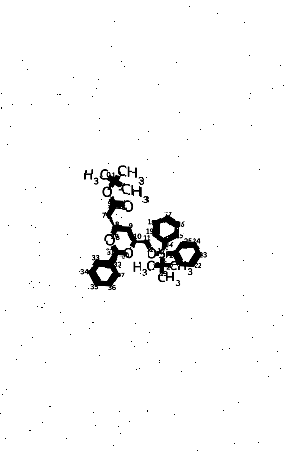 CC(C)(C)OC(=O)C[C@H]1C[C@@H](CO[Si](c2ccccc2)(c2ccccc2)C(C)(C)C)OC(c2ccccc2)O1